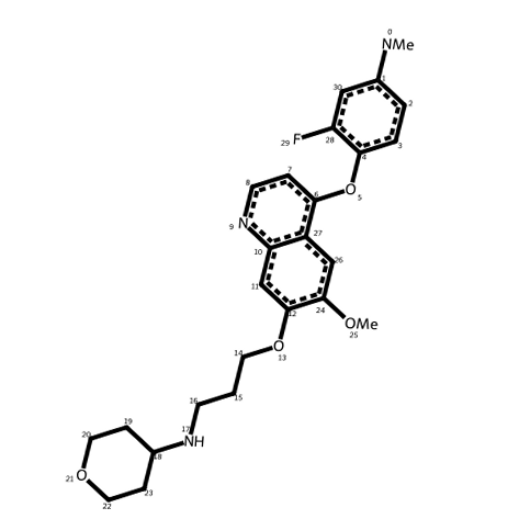 CNc1ccc(Oc2ccnc3cc(OCCCNC4CCOCC4)c(OC)cc23)c(F)c1